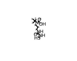 CC(C)(C)N(CCCNC(=O)NS)C(=O)O